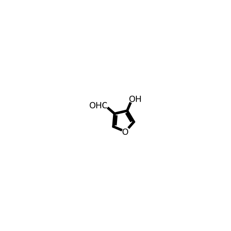 O=Cc1cocc1O